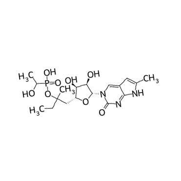 CCC(C)(C[C@H]1O[C@@H](n2cc3cc(C)[nH]c3nc2=O)[C@H](O)[C@@H]1O)OP(=O)(O)C(C)O